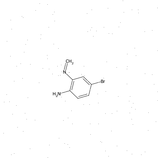 C=Nc1cc(Br)ccc1N